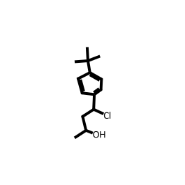 CC(O)CC(Cl)c1ccc(C(C)(C)C)cc1